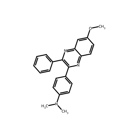 COc1ccc2nc(-c3ccc(N(C)C)cc3)c(-c3ccccc3)nc2c1